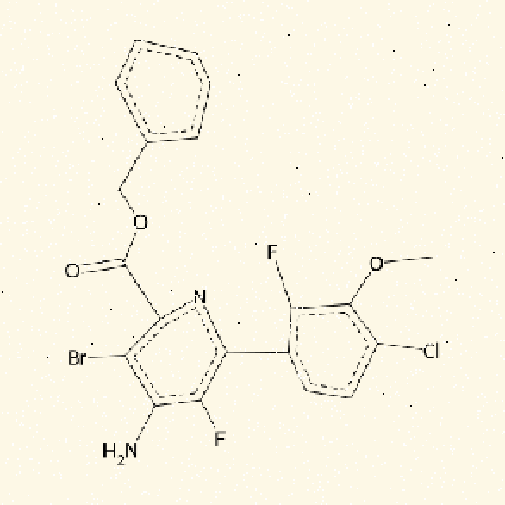 COc1c(Cl)ccc(-c2nc(C(=O)OCc3ccccc3)c(Br)c(N)c2F)c1F